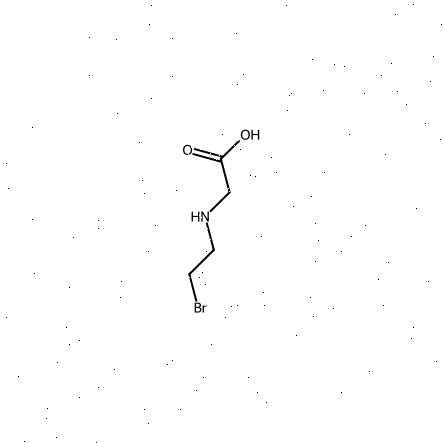 O=C(O)CNCCBr